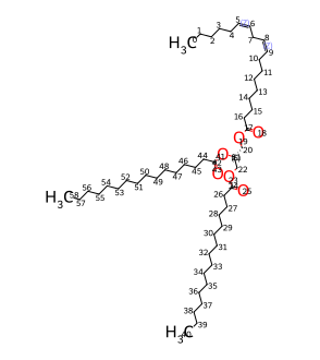 CCCCC/C=C\C/C=C\CCCCCCCC(=O)OC[C@H](COC(=O)CCCCCCCCCCCCCCC)OC(=O)CCCCCCCCCCCCCCC